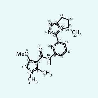 COc1nn(C)c(C)c1C(=O)Nc1cccc(-c2nnc3n2[C@@H](C)CC3)n1